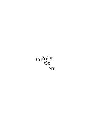 [Cd].[Cu].[Se].[Sn].[Zn]